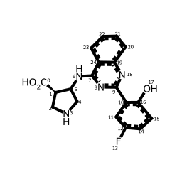 O=C(O)[C@@H]1CNCC1Nc1nc(-c2cc(F)ccc2O)nc2ccccc12